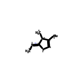 C/N=c1\scc(C(C)(C)C)n1C